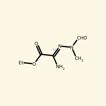 CCOC(=O)/C(N)=N/N(C)C=O